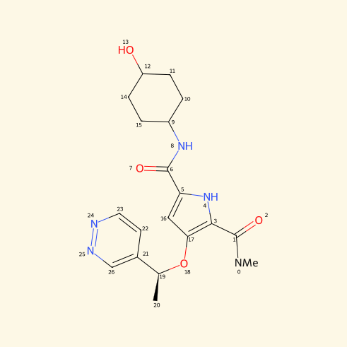 CNC(=O)c1[nH]c(C(=O)NC2CCC(O)CC2)cc1O[C@@H](C)c1ccnnc1